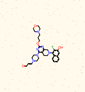 O=CC=CN1CCN(c2nc(OCCCN3CCOCC3)nc3c2CCN(c2c(F)c(O)cc4ccccc24)C3)CC1